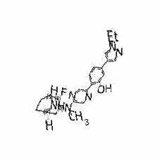 CCn1cc(-c2ccc(-c3cnc(N(C)[C@@H]4C[C@H]5CC[C@H](N5)[C@@H]4F)cn3)c(O)c2)cn1